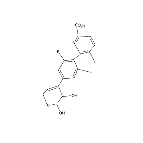 O=C(O)c1ccc(F)c(-c2c(F)cc(C3=CCSC(O)C3O)cc2F)n1